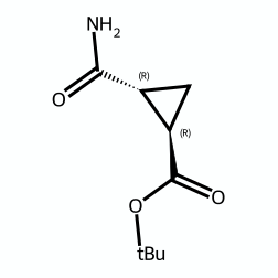 CC(C)(C)OC(=O)[C@@H]1C[C@H]1C(N)=O